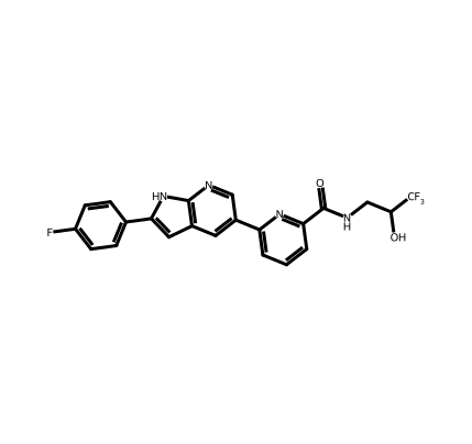 O=C(NCC(O)C(F)(F)F)c1cccc(-c2cnc3[nH]c(-c4ccc(F)cc4)cc3c2)n1